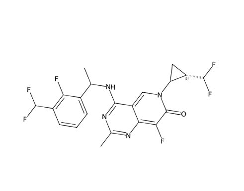 Cc1nc(NC(C)c2cccc(C(F)F)c2F)c2cn(C3C[C@@H]3C(F)F)c(=O)c(F)c2n1